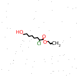 C=CCOC(=O)C(Cl)CCCCCCO